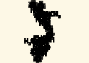 CCC(=O)N[C@H]1CN(C(=O)Nc2ccc(Sc3ccc(NC(=O)N4CC[C@H]5CC[C@@H](C(=O)NC(c6ccccc6)c6ccccc6)N5C(=O)[C@@H](NC(=O)[C@H](C)NC)C4)cc3)cc2)CC[C@H]2CCC(C(=O)NC(c3ccccc3)c3ccccc3)N2C1=O